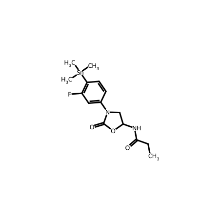 CCC(=O)NC1CN(c2cc[c]([Sn]([CH3])([CH3])[CH3])c(F)c2)C(=O)O1